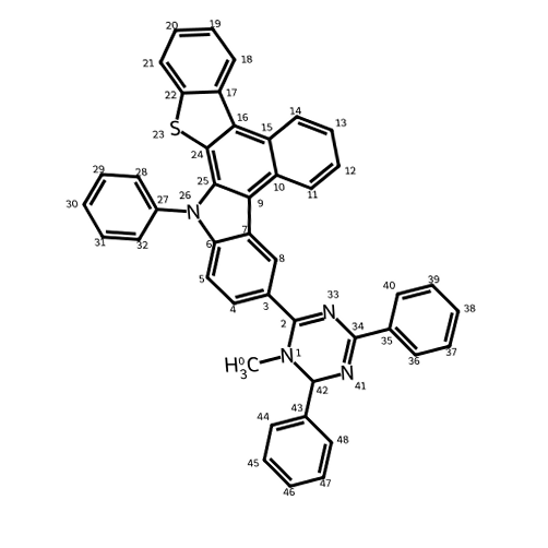 CN1C(c2ccc3c(c2)c2c4ccccc4c4c5ccccc5sc4c2n3-c2ccccc2)=NC(c2ccccc2)=NC1c1ccccc1